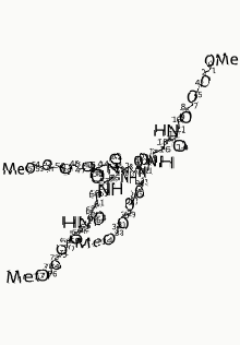 COCCOCCOCCOCCNC(=O)CCCNC(=O)CN(CCOCCOCCOCCOC)C(=O)CC[C@H](N)C(=O)N(CCOCCOCCOCCOC)CC(=O)NCCCC(=O)NCCOCCOCCOCCOC